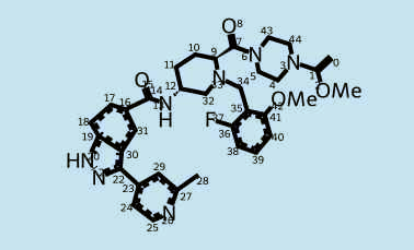 C=C(OC)N1CCN(C(=O)[C@@H]2CC[C@@H](NC(=O)c3ccc4[nH]nc(-c5ccnc(C)c5)c4c3)CN2Cc2c(F)cccc2OC)CC1